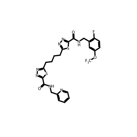 O=C(NCc1ccccn1)c1nnc(CCCCc2nnc(C(=O)NCc3cc(OC(F)(F)F)ccc3F)s2)s1